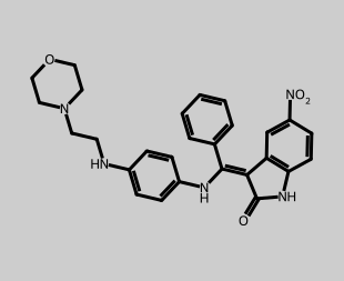 O=C1Nc2ccc([N+](=O)[O-])cc2/C1=C(/Nc1ccc(NCCN2CCOCC2)cc1)c1ccccc1